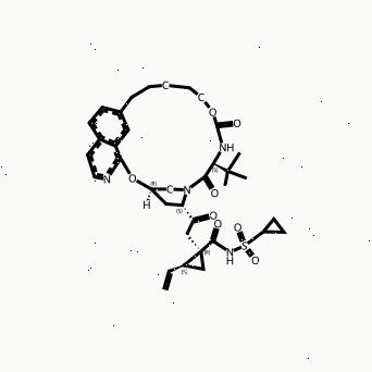 C=C[C@@H]1C[C@]1(CC(=O)[C@@H]1C[C@@H]2CN1C(=O)[C@H](C(C)(C)C)NC(=O)OCCCCCc1ccc3ccnc(c3c1)O2)C(=O)NS(=O)(=O)C1CC1